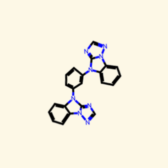 c1cc(-n2c3ccccc3n3ncnc23)cc(-n2c3ccccc3n3ncnc23)c1